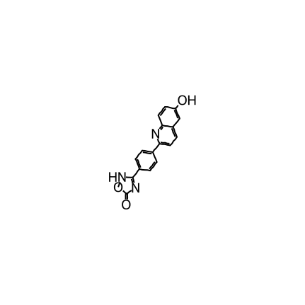 O=c1nc(-c2ccc(-c3ccc4cc(O)ccc4n3)cc2)[nH]o1